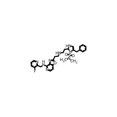 CN(C)S(=O)(=O)N1C(Cc2ccccc2)=CNC1CCNCCc1nc2c(NCc3ncccc3F)nccc2o1